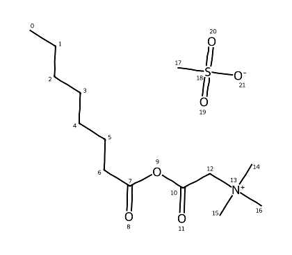 CCCCCCCC(=O)OC(=O)C[N+](C)(C)C.CS(=O)(=O)[O-]